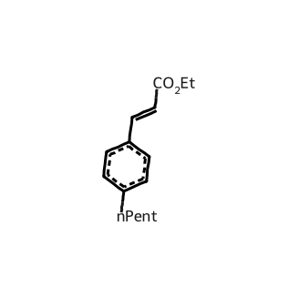 CCCCCc1ccc(/C=C/C(=O)OCC)cc1